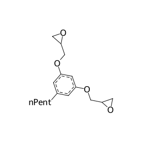 CCCCCc1cc(OCC2CO2)cc(OCC2CO2)c1